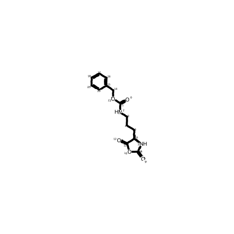 O=C(NCCCC1NC(=O)OC1=O)OCc1ccccc1